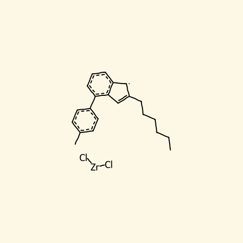 CCCCCCC1=Cc2c(cccc2-c2ccc(C)cc2)[CH]1.[Cl][Zr][Cl]